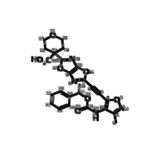 Cc1noc(C#Cc2nc3oc(C4(C(=O)O)CCOCC4)nc3o2)c1NC(=O)OC(C)c1ccccc1